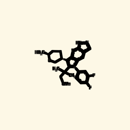 COCC(C)(C)c1c([C@H]2CC[C@H](C(=O)O)OC2)c2nc3[nH]ncc3cc2n1-c1ccc(F)c(F)c1